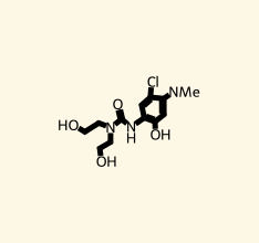 CNc1cc(O)c(NC(=O)N(CCO)CCO)cc1Cl